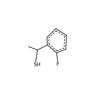 CC(S)c1ccccc1F